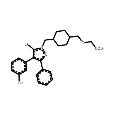 CCc1c(-c2cccc(O)c2)c(-c2ccccc2)nn1CC1CCC(COCC(=O)O)CC1